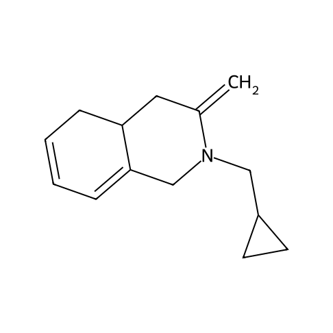 C=C1CC2CC=CC=C2CN1CC1CC1